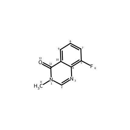 Cn1cnc2c(F)cccc2c1=O